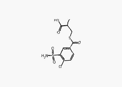 CC(CSC(=O)c1ccc(Cl)c(S(N)(=O)=O)c1)C(=O)O